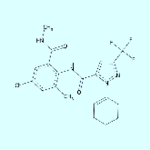 CNC(=O)c1cc(Cl)cc(C)c1NC(=O)c1cc(C(F)(F)F)nn1C1=CCCCC1